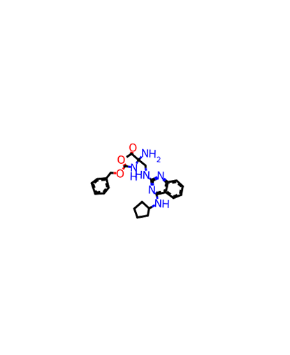 CC(=O)C(N)(CNc1nc(NC2CCCC2)c2ccccc2n1)NC(=O)OCc1ccccc1